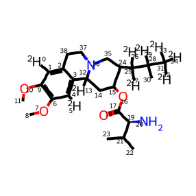 [2H]c1c2c(c([2H])c(OC)c1OC)C1([2H])CC(OC(=O)[C@@H](N)C(C)C)C(C([2H])([2H])C([2H])(C)C([2H])([2H])[2H])CN1CC2